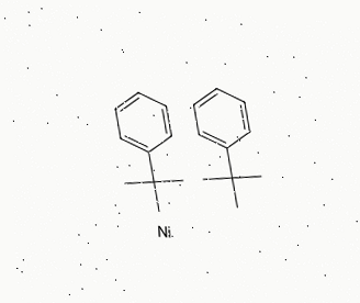 CC(C)(C)c1ccccc1.CC(C)(C)c1ccccc1.[Ni]